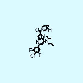 CCCN(c1cc(-c2cc(F)c(Cl)c(F)c2)nc2cc(C(=O)N3CC4C[C@H]4C3)nn12)C(C)C